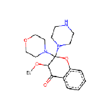 CCOC1C(=O)c2ccccc2OC1(N1CCNCC1)N1CCOCC1